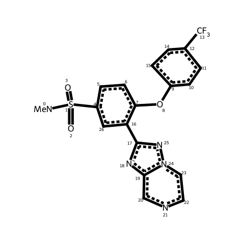 CNS(=O)(=O)c1ccc(Oc2ccc(C(F)(F)F)cc2)c(-c2nc3cnccn3n2)c1